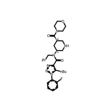 CCCCc1c(C(=O)N(CC(C)C)[C@@H]2CNC[C@H](C(=O)N3CCOCC3)C2)nnn1-c1ccccc1F